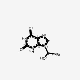 CCCCC(O)n1cnc2c(=O)[nH]c(=O)[nH]c21